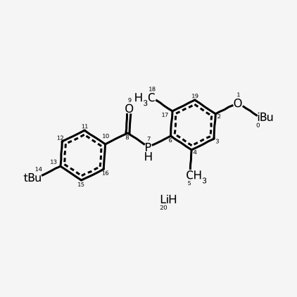 CCC(C)Oc1cc(C)c(PC(=O)c2ccc(C(C)(C)C)cc2)c(C)c1.[LiH]